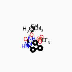 C[Si](C)(C)CCOCNC(=O)c1n[nH]c(-c2cccc(-c3ccccc3-c3ccccc3OS(=O)(=O)C(F)(F)F)c2)n1